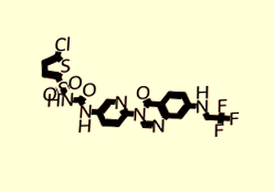 O=C(Nc1ccc(-n2cnc3cc(NCC(F)(F)F)ccc3c2=O)nc1)NS(=O)(=O)c1ccc(Cl)s1